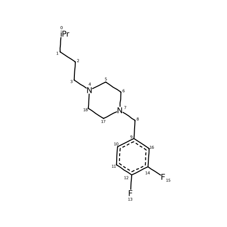 CC(C)CCCN1CCN(Cc2ccc(F)c(F)c2)CC1